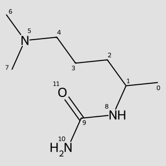 CC(CCCN(C)C)NC(N)=O